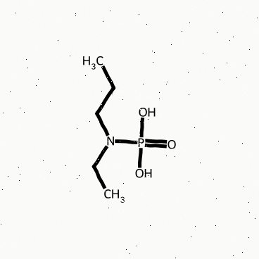 CCCN(CC)P(=O)(O)O